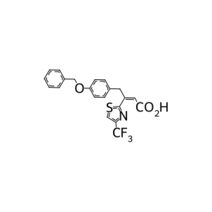 O=C(O)C=C(Cc1ccc(OCc2ccccc2)cc1)c1nc(C(F)(F)F)cs1